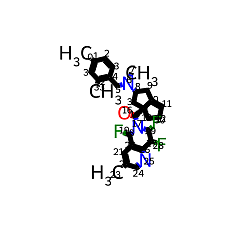 Cc1ccc(CN(C)C2CC3=CCCC3(C(=O)N3C(F)c4cc(C)cnc4C(F)C3F)C2)c(C)c1